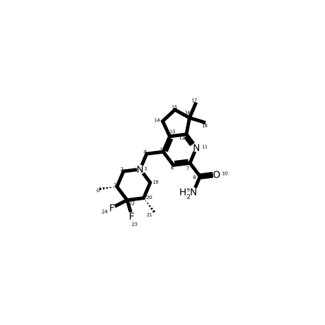 C[C@@H]1CN(Cc2cc(C(N)=O)nc3c2CCC3(C)C)C[C@H](C)C1(F)F